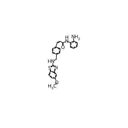 COc1ccc2sc(NCc3ccc(/C=C\C(=O)Nc4ccccc4N)cc3)nc2c1